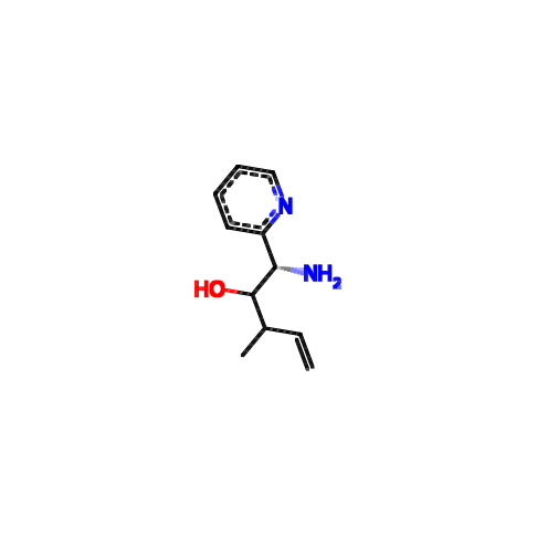 C=CC(C)C(O)[C@@H](N)c1ccccn1